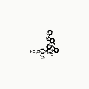 Cc1ccc2c(cnn2C2CCCCO2)c1N1CCc2c(N3CCN(C(=O)O)[C@@H](CC#N)C3)nc(=O)n(-c3ccccc3C(C)C)c2C1